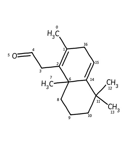 CC1=C(CC=O)C2(C)CCCC(C)(C)C2=CC1